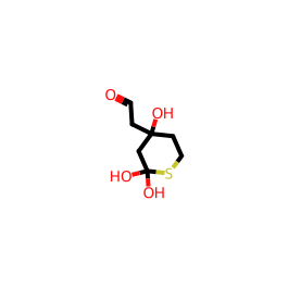 O=CCC1(O)CCSC(O)(O)C1